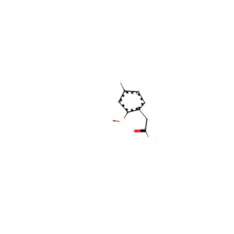 COc1cc(N)ccc1CC(=O)O